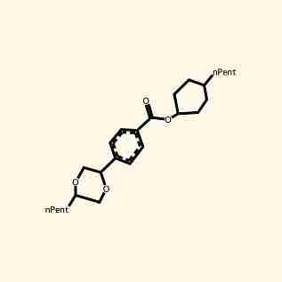 CCCCCC1CCC(OC(=O)c2ccc(C3COC(CCCCC)CO3)cc2)CC1